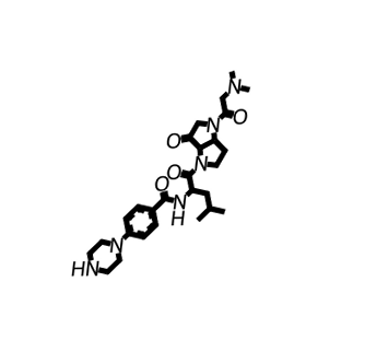 CC(C)CC(NC(=O)c1ccc(N2CCNCC2)cc1)C(=O)N1CCC2C1C(=O)CN2C(=O)CN(C)C